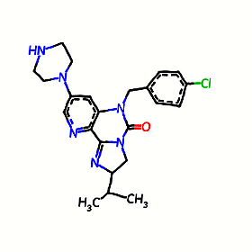 CC(C)C1CN2C(=O)N(Cc3ccc(Cl)cc3)c3cc(N4CCNCC4)cnc3C2=N1